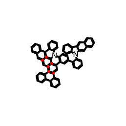 c1ccc(-c2cc(-c3ccccc3-n3c4ccccc4c4cc5ccccc5cc43)ccc2N(c2cccc(-c3cc4ccccc4c4ccccc34)c2)c2ccccc2-c2cccc3ccccc23)cc1